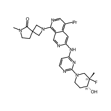 CC(C)c1cnc(N2CC3(CCN(C)C3=O)C2)c2cnc(Nc3ccnc(N4CC[C@@H](O)[C@@](C)(F)C4)n3)cc12